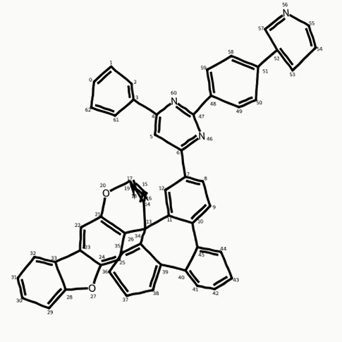 c1ccc(-c2cc(-c3ccc4c(c3)C3(c5ccccc5Oc5cc6c(cc53)oc3ccccc36)c3ccccc3-c3ccccc3-4)nc(-c3ccc(-c4cccnc4)cc3)n2)cc1